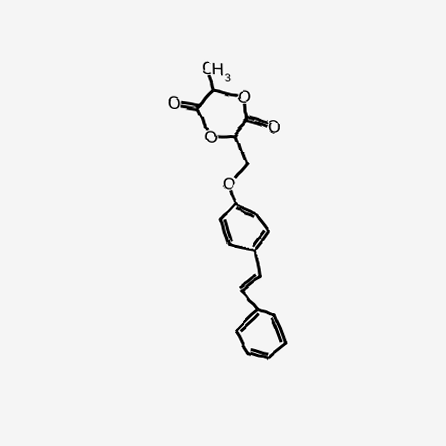 CC1OC(=O)C(COc2ccc(/C=C/c3ccccc3)cc2)OC1=O